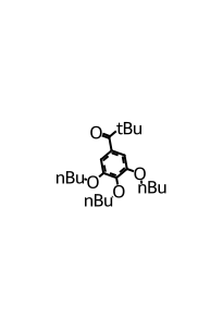 CCCCOc1cc(C(=O)C(C)(C)C)cc(OCCCC)c1OCCCC